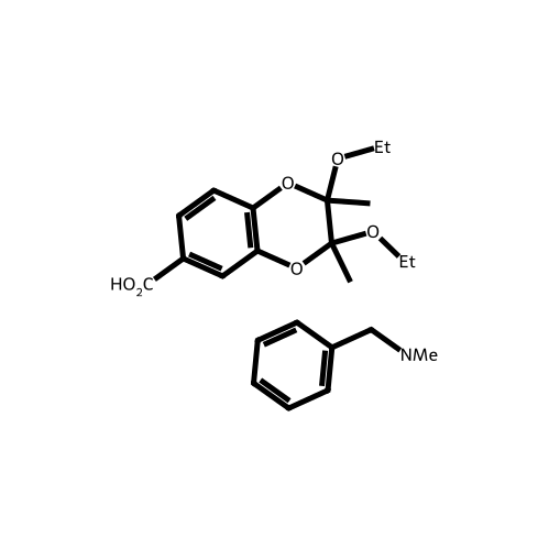 CCOC1(C)Oc2ccc(C(=O)O)cc2OC1(C)OCC.CNCc1ccccc1